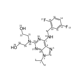 CC(C)n1cnc2c(NCc3cc(F)ccc3F)nc(N(CCO)CCO)nc21